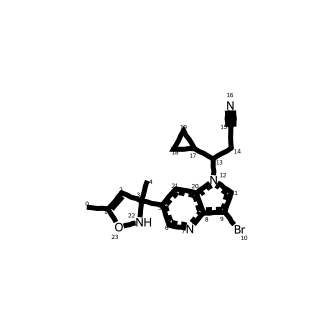 CC1=CC(C)(c2cnc3c(Br)cn(C(CC#N)C4CC4)c3c2)NO1